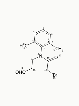 Cc1cccc(C)c1N(CCC=O)C(=O)CBr